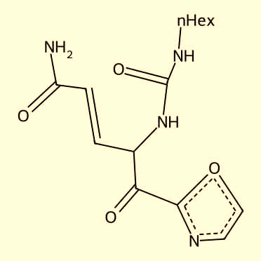 CCCCCCNC(=O)NC(/C=C/C(N)=O)C(=O)c1ncco1